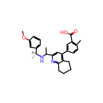 COc1cccc([C@@H](C)NC(C)c2cc(-c3ccc(C)c(C(=O)O)c3)c3c(n2)CCCC3)c1